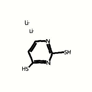 Sc1ccnc(S)n1.[Li].[Li]